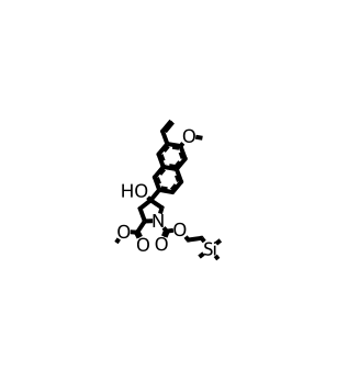 C=Cc1cc2cc(C3(O)CC(C(=O)OC)N(C(=O)OCC[Si](C)(C)C)C3)ccc2cc1OC